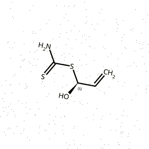 C=C[C@@H](O)SC(N)=S